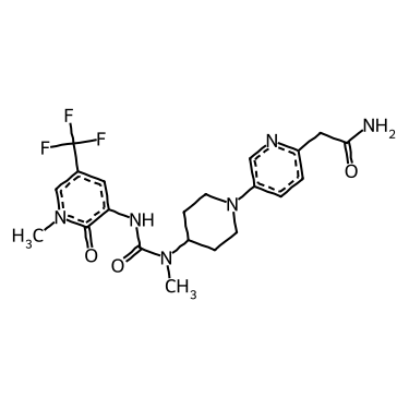 CN(C(=O)Nc1cc(C(F)(F)F)cn(C)c1=O)C1CCN(c2ccc(CC(N)=O)nc2)CC1